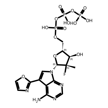 C[C@]1(F)[C@H](O)[C@@H](COP(=O)(O)OP(=O)(O)OP(=O)(O)O)O[C@H]1n1cc(-c2ncco2)c2c(N)ncnc21